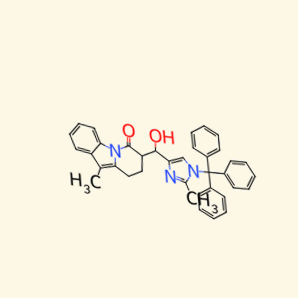 Cc1c2n(c3ccccc13)C(=O)C(C(O)c1cn(C(c3ccccc3)(c3ccccc3)c3ccccc3)c(C)n1)CC2